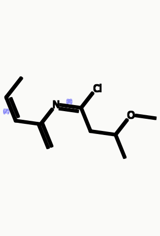 C=C(/C=C\C)/N=C(/Cl)CC(C)OC